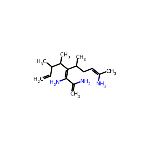 C=CC(C)C(C)/C(=C(\N)C(=C)N)C(C)C/C=C(/C)N